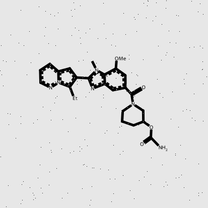 CCc1c(-c2nc3cc(C(=O)N4CCCC(OC(N)=O)C4)cc(OC)c3n2C)cc2cccnn12